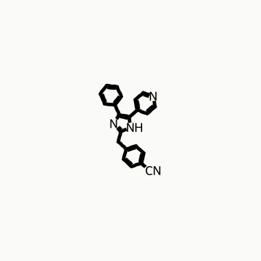 N#Cc1ccc(Cc2nc(-c3ccccc3)c(-c3ccncc3)[nH]2)cc1